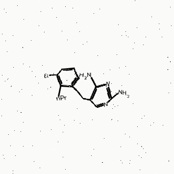 CCCc1c(CC)cccc1Cc1cnc(N)nc1N